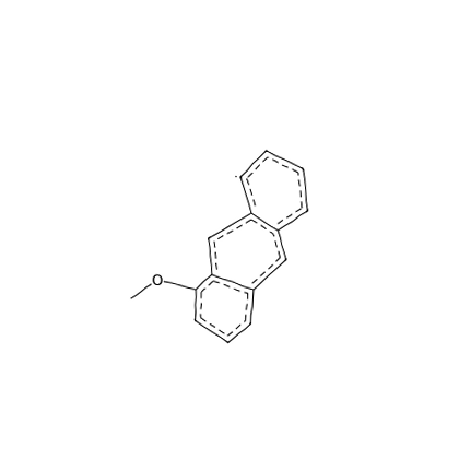 COc1cccc2cc3ccc[c]c3cc12